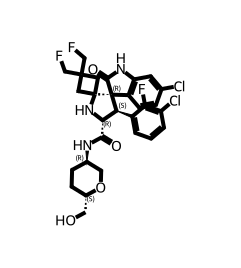 O=C(N[C@@H]1CC[C@@H](CO)OC1)[C@@H]1NC2(CC(CF)(CF)C2)[C@@]2(C(=O)Nc3cc(Cl)ccc32)[C@H]1c1cccc(Cl)c1F